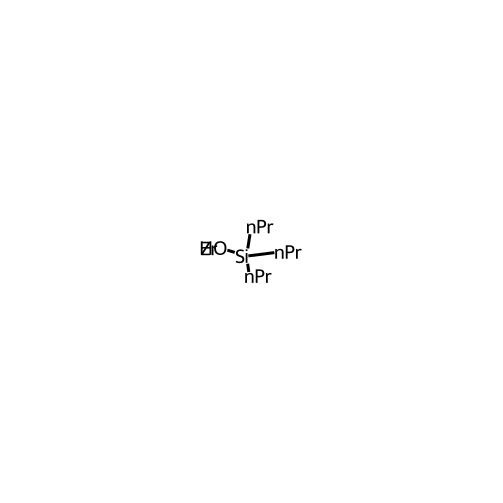 CCC[Si](O)(CCC)CCC.[Zr]